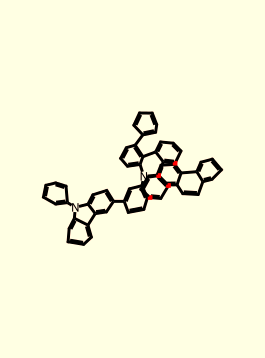 c1ccc(-c2ccccc2-c2c(-c3ccccc3)cccc2N(c2cccc(-c3ccc4c(c3)c3ccccc3n4-c3ccccc3)c2)c2ccc3c(ccc4ccccc43)c2)cc1